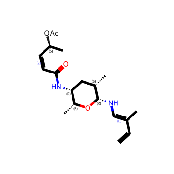 C=C/C(C)=C/N[C@@H]1O[C@H](C)[C@H](NC(=O)/C=C\[C@H](C)OC(C)=O)C[C@@H]1C